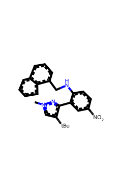 Cn1cc(C(C)(C)C)c(-c2cc([N+](=O)[O-])ccc2NCc2cccc3ccccc23)n1